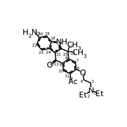 CCN(CC)CCOc1cc2c(cc1C(C)=O)C(=O)c1c([nH]c3cc(N)ccc13)C2(C)C